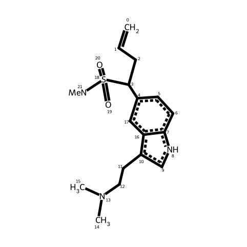 C=CCC(c1ccc2[nH]cc(CCN(C)C)c2c1)S(=O)(=O)NC